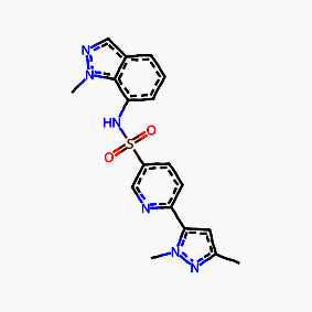 Cc1cc(-c2ccc(S(=O)(=O)Nc3cccc4cnn(C)c34)cn2)n(C)n1